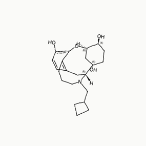 Oc1ccc2c3c1O[C@@H]1C[C@@](O)(CC[C@@H]1O)[C@@H](C2)N(CC1CCC1)CCC3